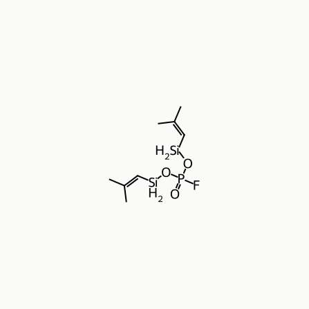 CC(C)=C[SiH2]OP(=O)(F)O[SiH2]C=C(C)C